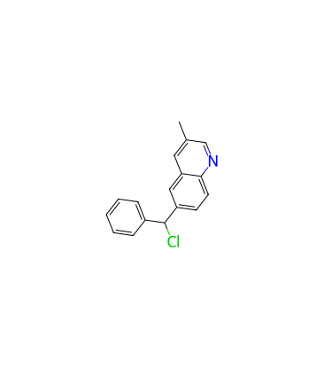 Cc1cnc2ccc(C(Cl)c3ccccc3)cc2c1